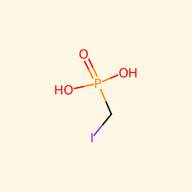 O=P(O)(O)CI